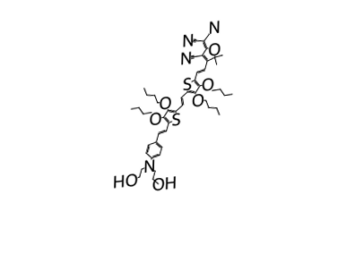 CCCCOc1c(/C=C/C2=C(C#N)C(=C(C#N)C#N)OC2(C)C)sc(/C=C/c2sc(/C=C/c3ccc(N(CCO)CCO)cc3)c(OCCCC)c2OCCCC)c1OCCCC